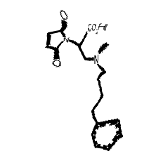 CN(CCCCc1ccccc1)CC(C(=O)O)N1C(=O)C=CC1=O